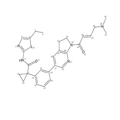 CCc1cnc(NC(=O)C2(c3cccc(-c4cnc5c(c4)CCN5C(=O)/C=C/CN(C)C)c3)CC2)s1